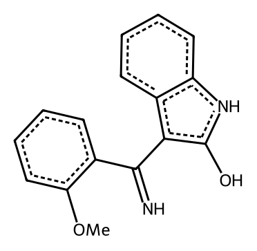 COc1ccccc1C(=N)c1c(O)[nH]c2ccccc12